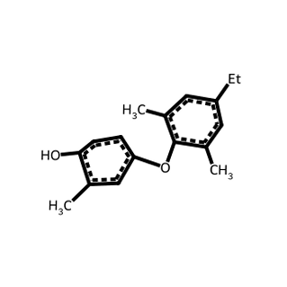 CCc1cc(C)c(Oc2ccc(O)c(C)c2)c(C)c1